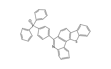 O=P(c1ccccc1)(c1ccccc1)c1ccc(-c2nc3ccccc3c3c2ccc2c4ccccc4sc23)cc1